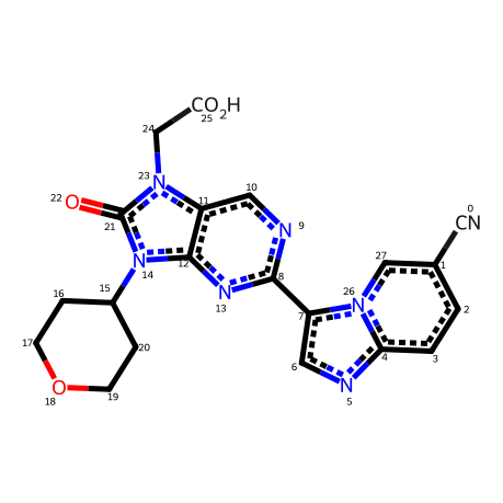 N#Cc1ccc2ncc(-c3ncc4c(n3)n(C3CCOCC3)c(=O)n4CC(=O)O)n2c1